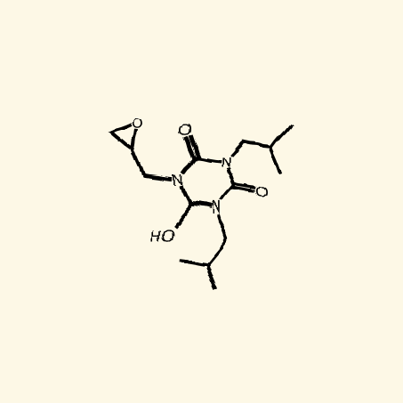 CC(C)CN1C(=O)N(CC(C)C)C(O)N(CC2CO2)C1=O